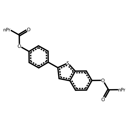 CCCC(=O)Oc1ccc(-c2cc3ccc(OC(=O)CCC)cc3s2)cc1